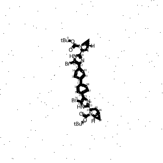 CC(C)(C)OC(=O)N1C2C[C@@H]2C[C@H]1c1nc(-c2ccc(-c3ccc(-c4nc([C@@H]5CC6C[C@H]6N5C(=O)OC(C)(C)C)[nH]c4Br)cc3)cc2)c(Br)[nH]1